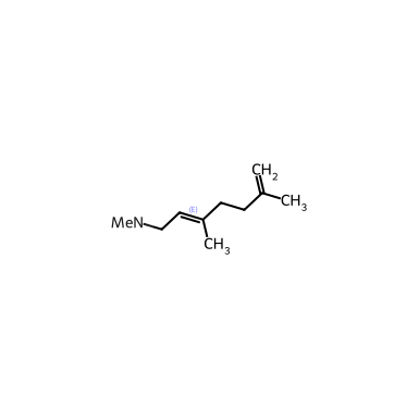 C=C(C)CC/C(C)=C/CNC